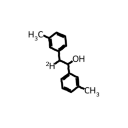 [2H]C(c1cccc(C)c1)C(O)c1cccc(C)c1